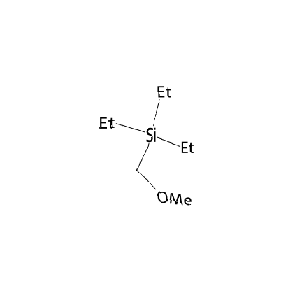 [CH2]OC[Si](CC)(CC)CC